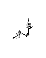 CCCCNC(=O)Nc1nc(=O)cc(CCCC[Si](C)(C)O[Si](C)(C)CCCCc2cc(=O)nc(NC(=O)NCCCC)[nH]2)[nH]1